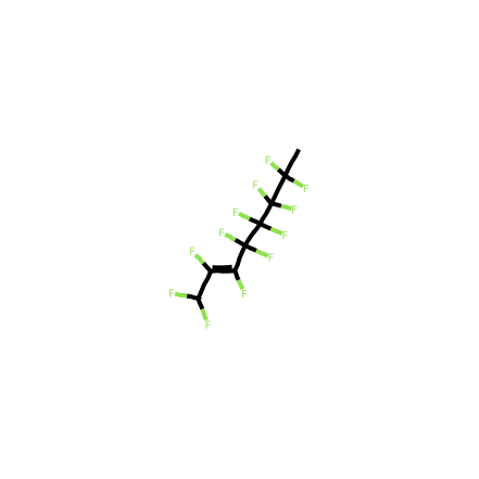 CC(F)(F)C(F)(F)C(F)(F)C(F)(F)C(F)=C(F)[C](F)F